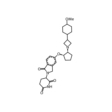 COC1CCC(C2CN([C@H]3CCC[C@H]3Oc3ccc4c(c3)CN(C3CCC(=O)NC3=O)C4=O)C2)CC1